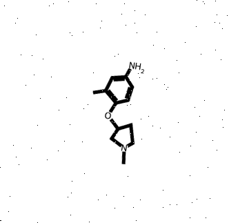 Cc1cc(N)ccc1OC1CCN(C)C1